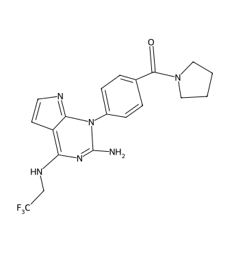 Nc1nc(NCC(F)(F)F)c2ccnc-2n1-c1ccc(C(=O)N2CCCC2)cc1